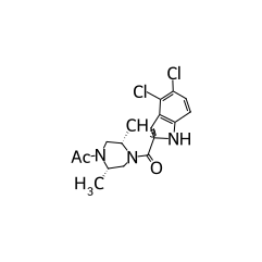 CC(=O)N1C[C@H](C)N(C(=O)c2cc3c(Cl)c(Cl)ccc3[nH]2)C[C@@H]1C